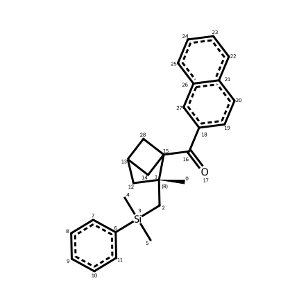 C[C@@]1(C[Si](C)(C)c2ccccc2)CC2CC1(C(=O)c1ccc3ccccc3c1)C2